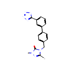 CCCCn1nc(C(C)CC)n(Cc2ccc(-c3cccc(-c4nnn[nH]4)c3)cc2)c1=O